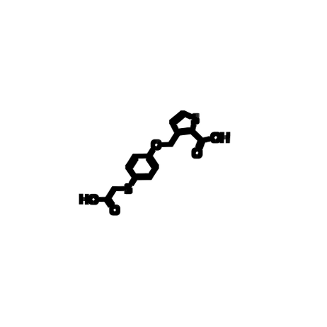 O=C(O)CSc1ccc(OCc2ccsc2C(=O)O)cc1